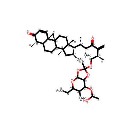 C=C(C(=O)[C@H](OC(C)=O)[C@@H](C)[C@H]1[C@@H](OC(C)=O)C[C@@]2(C)C3CCC4[C@H](C)C(=O)C=C[C@@]45C[C@@]35CC[C@]12C)[C@@H](C)COC1(C)OC2OC(COC(C)=O)C(OC(C)=O)C(OC(C)O)C2O1